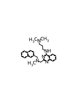 CN(C)CCCNc1nc(CN(C)Cc2ccc3ccccc3c2)nc2ccccc12